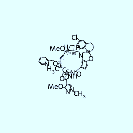 COc1nn(C)cc1C(=O)N[S@@]1(=O)=NC(=O)c2ccc3c(c2)N(C[C@@H]2CC[C@H]2[C@@H](OC)/C=C/[C@H](OCc2ccccn2)[C@H](C)C1)C[C@@]1(CCCc2cc(Cl)ccc21)CO3